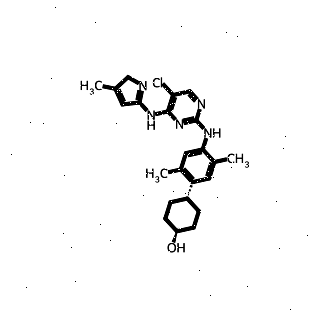 CC1=CC(Nc2nc(Nc3cc(C)c([C@H]4CC[C@H](O)CC4)cc3C)ncc2Cl)=NC1